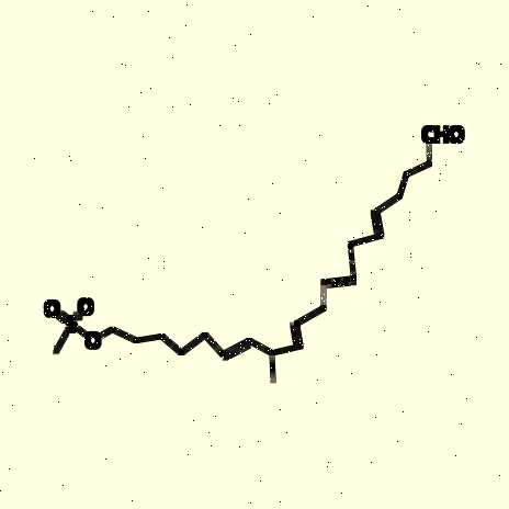 CC(C=CCC=CCC=CCCCC=O)C=CCCCCCOS(C)(=O)=O